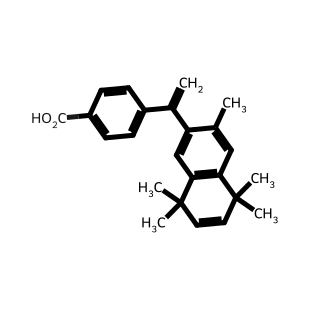 C=C(c1ccc(C(=O)O)cc1)c1cc2c(cc1C)C(C)(C)C=CC2(C)C